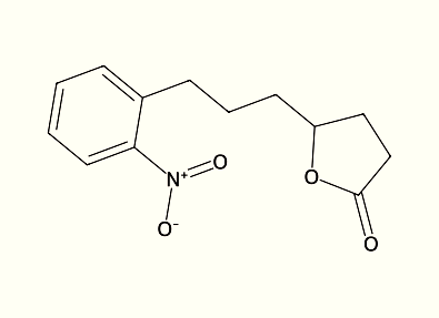 O=C1CCC(CCCc2ccccc2[N+](=O)[O-])O1